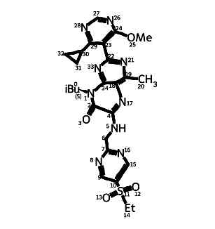 CC[C@H](C)n1c(=O)c(NCc2ncc(S(=O)(=O)CC)cn2)nc2c(C)nc(-c3c(OC)ncnc3C3CC3)nc21